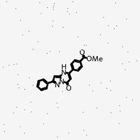 COC(=O)c1ccc(-c2cc(=O)n3nc(-c4ccccc4)cc3[nH]2)cc1